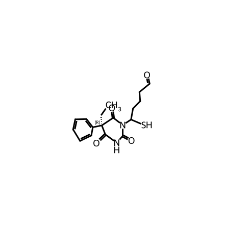 CC[C@@]1(c2ccccc2)C(=O)NC(=O)N(C(S)CCCC=O)C1=O